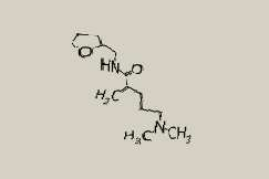 C=C(CCCN(C)C)C(=O)NCC1CCCO1